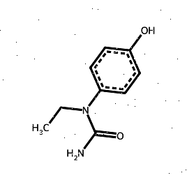 CCN(C(N)=O)c1ccc(O)cc1